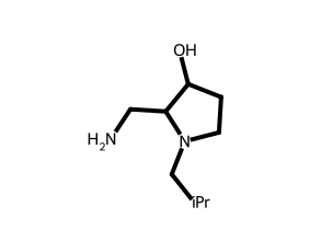 CC(C)CN1CCC(O)C1CN